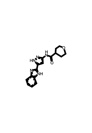 O=C(Nc1cc(-c2nc3ccccc3[nH]2)[nH]n1)C1CCOCC1